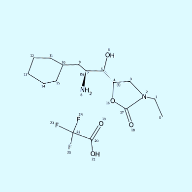 CCN1C[C@@H](C(O)[C@@H](N)CC2CCCCC2)OC1=O.O=C(O)C(F)(F)F